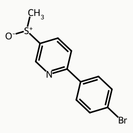 C[S+]([O-])c1ccc(-c2ccc(Br)cc2)nc1